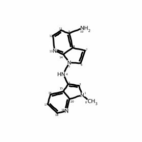 Cn1cc(Nn2ccc3c(N)ccnc32)c2cccnc21